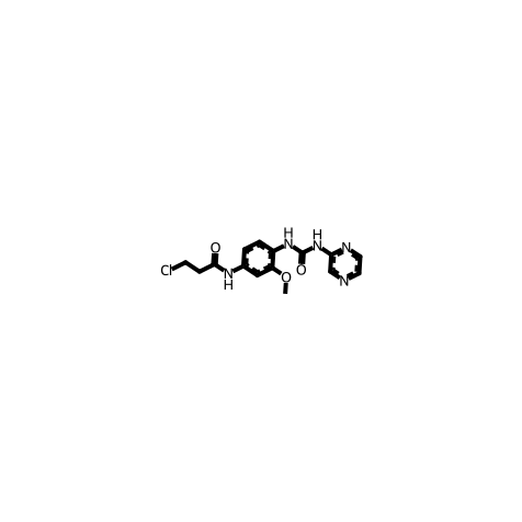 COc1cc(NC(=O)CCCl)ccc1NC(=O)Nc1cnccn1